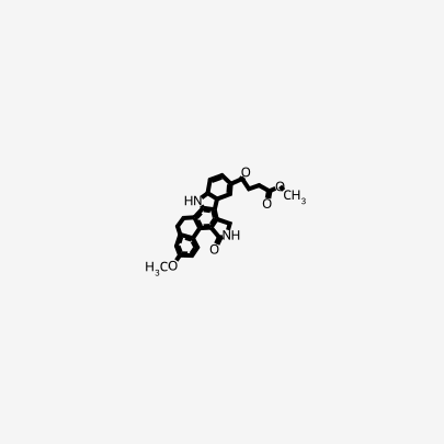 COC(=O)CCC(=O)C1=CC2c3c4c(c5c(c3NC2C=C1)CCc1cc(OC)ccc1-5)C(=O)NC4